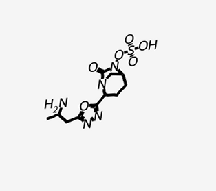 CC(N)Cc1nnc(C2CCC3CN2C(=O)N3OS(=O)(=O)O)o1